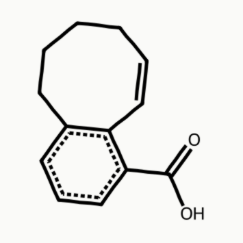 O=C(O)c1cccc2c1C=CCCCC2